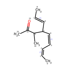 C/C=C\C=C/C(/C=C/C)C(C)C(C)=O